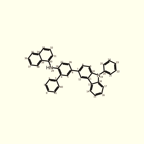 c1ccc(-c2cc(-c3ccc4c(c3)c3ccccc3n4-c3ccccc3)ccc2Nc2cccc3ccccc23)cc1